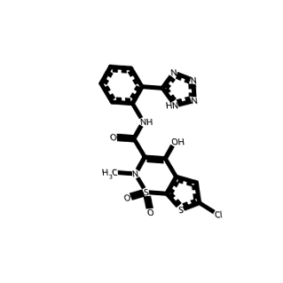 CN1C(C(=O)Nc2ccccc2-c2nnn[nH]2)=C(O)c2cc(Cl)sc2S1(=O)=O